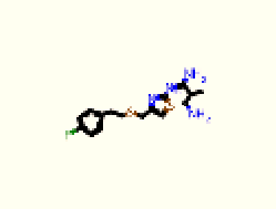 CC(CN)/C(N)=N\c1nc(CSCCc2ccc(F)cc2)cs1